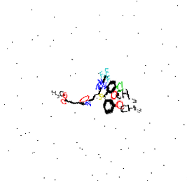 COC(=O)CCc1cnc(CC[C@@H]2S[C@@H](c3cccc(OC)c3OC)c3cc(Cl)ccc3-n3c2nnc3C(F)(F)F)o1